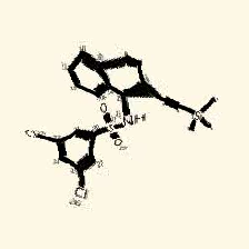 C[Si](C)(C)C#Cc1ccc2ccccc2c1NS(=O)(=O)c1cc(Cl)cc(Cl)c1